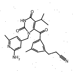 Cc1cc(CCC#N)cc(C(=O)c2c(C(C)C)c(=O)[nH]c(=O)n2Cc2cc(C)nc(N)c2)c1